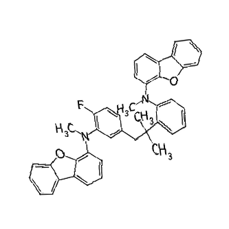 CN(c1cc(CC(C)(C)c2ccccc2N(C)c2cccc3c2oc2ccccc23)ccc1F)c1cccc2c1oc1ccccc12